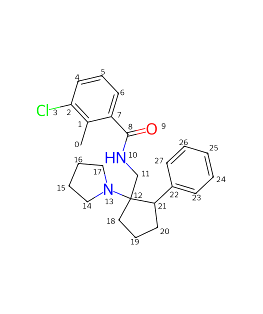 Cc1c(Cl)cccc1C(=O)NCC1(N2CCCC2)CCCC1c1ccccc1